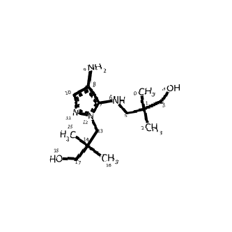 CC(C)(CO)CNc1c(N)cnn1CC(C)(C)CO